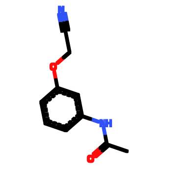 CC(=O)Nc1cccc(OCC#N)c1